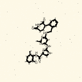 Cc1nc(NCc2ccccc2C2CCC(=O)NC2=O)cc(Nc2ncc(C(=O)Nc3c(C)cccc3Cl)s2)n1